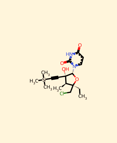 CC[C@@]1(CCl)O[C@@H](n2ccc(=O)[nH]c2=O)[C@](O)(C#C[Si](C)(C)C)[C@@H]1C